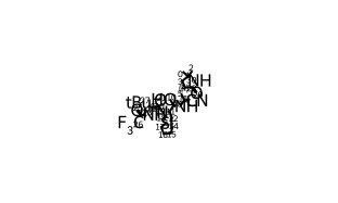 CC1(C)C[C@@H](C[C@@H](C#N)NC(O)C2C[Si]3(CCCC3)CN2C(=O)[C@@H](NC(=O)C(F)(F)F)C(C)(C)C)C(=O)N1